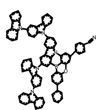 N#Cc1ccc(-c2cc3c4c(c2)-n2c5ccc(-n6c7ccccc7c7cc(-n8c9ccccc9c9ccccc98)ccc76)cc5c5cc(-n6c7ccccc7c7cc(-n8c9ccccc9c9ccccc98)ccc76)cc(c52)B4c2ccc(-c4ccccc4)cc2O3)cc1